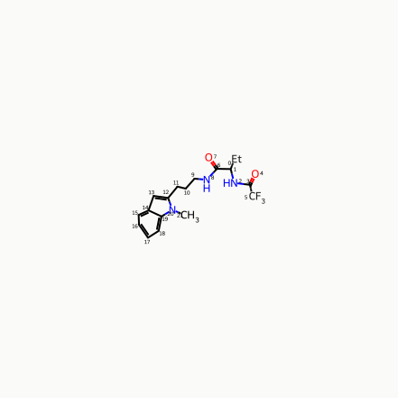 CCC(NC(=O)C(F)(F)F)C(=O)NCCCc1cc2ccccc2n1C